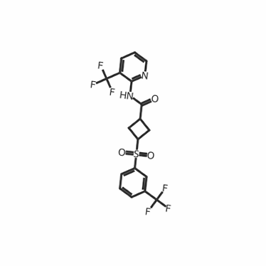 O=C(Nc1ncccc1C(F)(F)F)C1CC(S(=O)(=O)c2cccc(C(F)(F)F)c2)C1